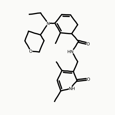 CCN(C1=C(C)C(C(=O)NCc2c(C)cc(C)[nH]c2=O)CC=C1)C1CCOCC1